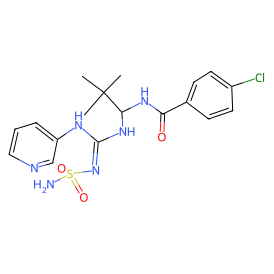 CC(C)(C)C(NC(=O)c1ccc(Cl)cc1)N/C(=N/S(N)(=O)=O)Nc1cccnc1